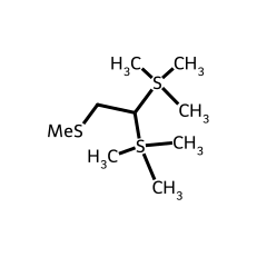 CSCC(S(C)(C)C)S(C)(C)C